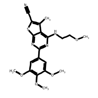 COCCNc1nc(-c2cc(OC)c(OC)c(OC)c2)nc2sc(C#N)c(C)c12